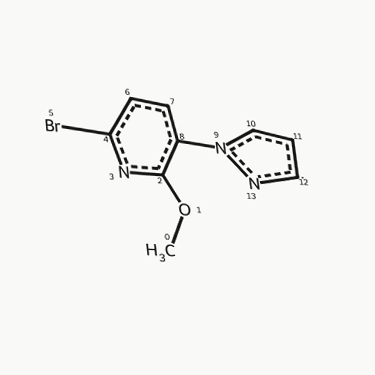 COc1nc(Br)ccc1-n1cc[c]n1